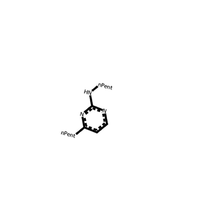 CCCCCNc1nccc(CCCCC)n1